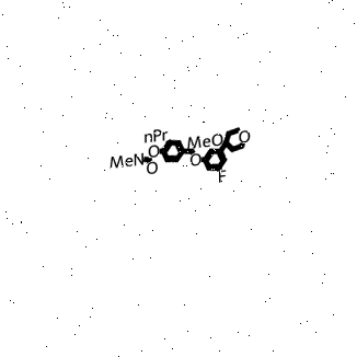 CCCc1cc(COc2cc(F)cc(C3(OC)CCOCC3)c2)ccc1OC(=O)NC